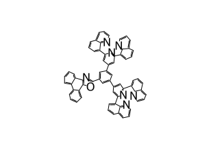 c1cnc2c(-c3cc(-c4cc(-c5cc(-c6cccc7cccnc67)nc(-c6cccc7cccnc67)c5)cc(-c5nc6c7ccccc7c7ccccc7c6o5)c4)cc(-c4cccc5cccnc45)n3)cccc2c1